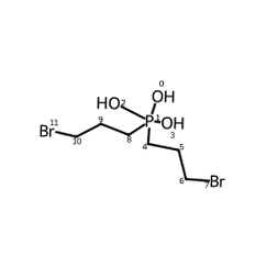 OP(O)(O)(CCCBr)CCCBr